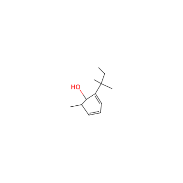 CCC(C)(C)C1=CC=CC(C)C1O